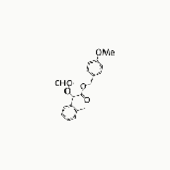 COc1ccc(COC(=O)C(O[C]=O)c2ccccc2C)cc1